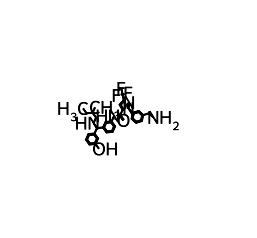 CCC(C)CNC(c1cccc(O)c1)c1cccc(NC(=O)c2cc(C(F)(F)F)nn2-c2cccc(CN)c2)c1